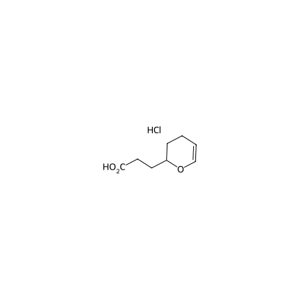 Cl.O=C(O)CCC1CCC=CO1